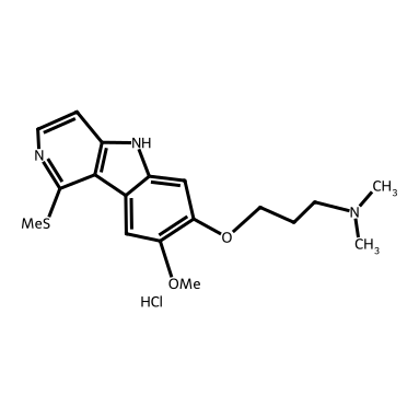 COc1cc2c(cc1OCCCN(C)C)[nH]c1ccnc(SC)c12.Cl